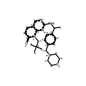 CC(Nc1ncc2ccc(=O)n(CC(C)(C)C)c2n1)c1ccc(CN2CCOCC2)cc1